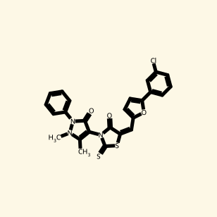 Cc1c(N2C(=O)/C(=C\c3ccc(-c4cccc(Cl)c4)o3)SC2=S)c(=O)n(-c2ccccc2)n1C